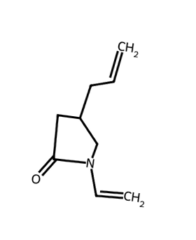 C=CCC1CC(=O)N(C=C)C1